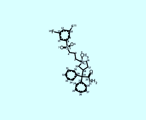 C[N@@+]1(CCCS(=O)(=O)c2cc(F)cc(F)c2)CCC(C(C(N)=O)(c2ccccc2)c2ccccc2)C1